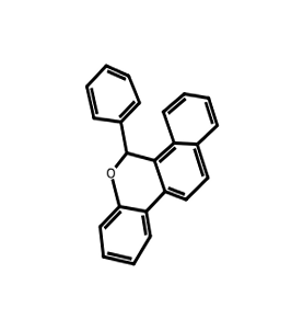 c1ccc(C2Oc3ccccc3-c3ccc4ccccc4c32)cc1